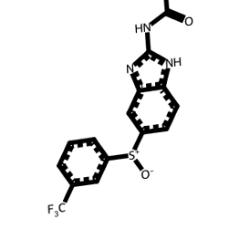 COC(=O)Nc1nc2cc([S+]([O-])c3cccc(C(F)(F)F)c3)ccc2[nH]1